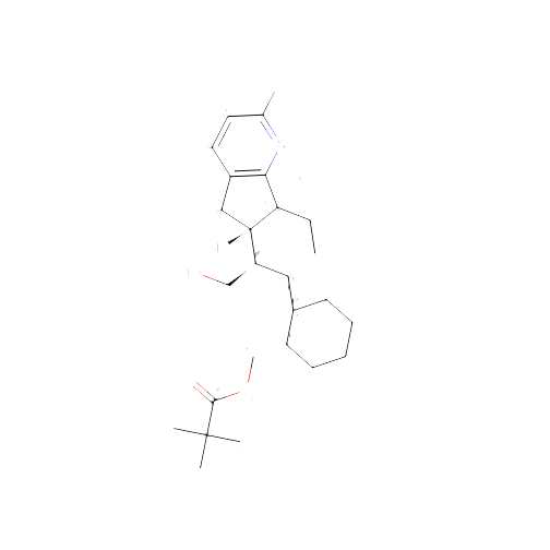 C[C@H]1CC[C@](C)([C@H]2CC[C@]3(C)c4nc(Cl)ccc4C[C@H]3[C@@H]2CO)[C@@H](COC(=O)C(C)(C)C)C1